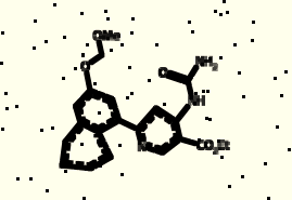 CCOC(=O)c1cnc(-c2cc(OCOC)cc3ccccc23)cc1NC(N)=O